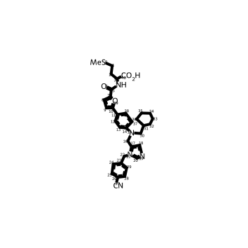 CSCCC(NC(=O)c1ccc(-c2ccc(N(Cc3cncn3Cc3ccc(C#N)cc3)CC3CCCCC3)cc2)o1)C(=O)O